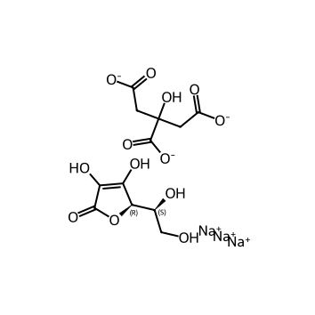 O=C([O-])CC(O)(CC(=O)[O-])C(=O)[O-].O=C1O[C@H]([C@@H](O)CO)C(O)=C1O.[Na+].[Na+].[Na+]